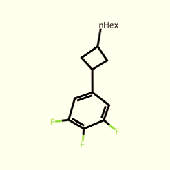 CCCCCCC1CC(c2cc(F)c(F)c(F)c2)C1